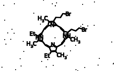 CCC1=C(C)c2cc3[nH]c(cc4nc(cc5[nH]c(cc1n2)c(C)c5CC)C(C)=C4CCCBr)c(CCCBr)c3C